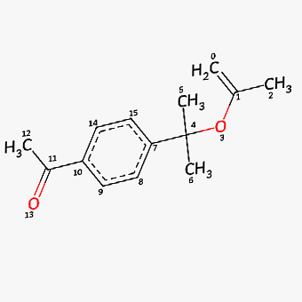 C=C(C)OC(C)(C)c1ccc(C(C)=O)cc1